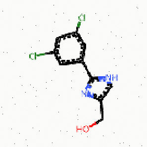 OCc1c[nH]c(-c2cc(Cl)cc(Cl)c2)n1